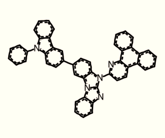 c1ccc(-n2c3ccccc3c3cc(-c4ccc5c(c4)n4c6ccccc6nc4n5-c4ccc5c6ccccc6c6ccccc6c5n4)ccc32)cc1